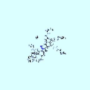 CCCCCCc1cc(C2=CC(CCCC)=C(c3cc(CCC)c(CCC)c(CCC)c3)[N+]2=[N-])cc(CCCCCC)c1CCCCCC.[Ni]